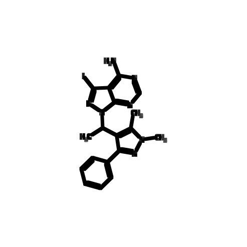 Cc1c(C(C)n2nc(I)c3c(N)ncnc32)c(-c2ccccc2)nn1C